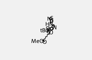 COC(=O)CCCCCCCOc1cc2nccc(Nc3ccc4scnc4c3)c2cc1S(=O)(=O)C(C)(C)C